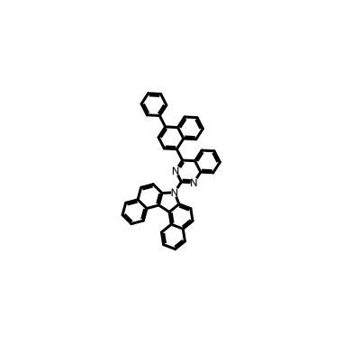 c1ccc(-c2ccc(-c3nc(-n4c5ccc6ccccc6c5c5c6ccccc6ccc54)nc4ccccc34)c3ccccc23)cc1